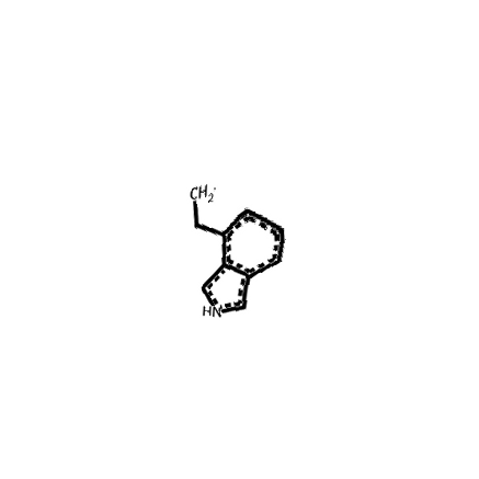 [CH2]Cc1cccc2c[nH]cc12